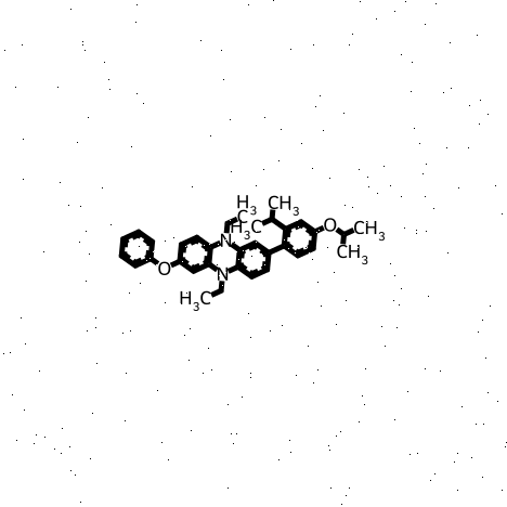 CCN1c2ccc(-c3ccc(OC(C)C)cc3C(C)C)cc2N(CC)c2ccc(Oc3ccccc3)cc21